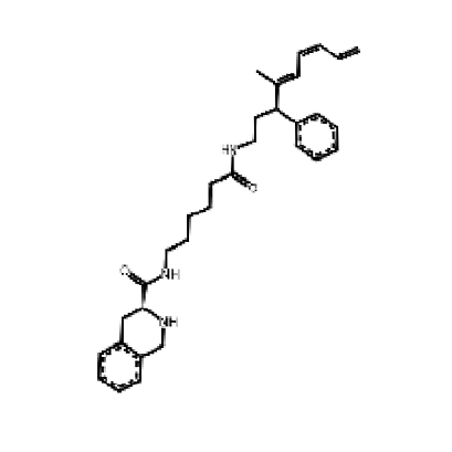 C=C/C=C\C=C(/C)C(CCNC(=O)CCCCCNC(=O)[C@@H]1Cc2ccccc2CN1)c1ccccc1